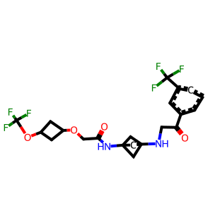 O=C(COC1CC(OC(F)(F)F)C1)NC12CC(NCC(=O)c3cccc(C(F)(F)F)c3)(C1)C2